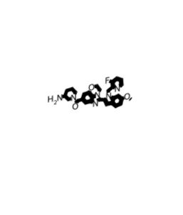 COc1ccc2cc(-c3nc4cc(C(=O)N5CCCC(N)C5)cc5c4n3CCO5)n(Cc3ncccc3F)c2c1